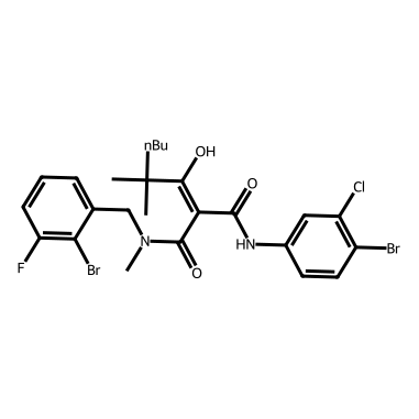 CCCCC(C)(C)/C(O)=C(/C(=O)Nc1ccc(Br)c(Cl)c1)C(=O)N(C)Cc1cccc(F)c1Br